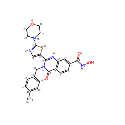 O=C(NO)c1ccc2c(=O)n(Cc3ccc(C(F)(F)F)cc3)c(-c3cnc(N4CCOCC4)s3)nc2c1